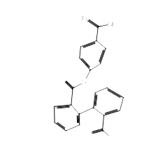 Cl.N=C(N)c1ccc(NC(=O)c2ccccc2-c2ccccc2C(=O)O)cc1